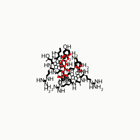 CC[C@H](C)[C@H](NC(=O)[C@H](CCCNC(=N)N)NC(=O)[C@H](C)NC(=O)[C@H](CCCNC(=N)N)NC(=O)c1ccc(CN)cc1)C(=O)N[C@@H](CC(N)=O)C(=O)N[C@@H](CC(C)C)C(=O)N[C@H](C(=O)N[C@H](C(=O)N[C@@H](CCCNC(=N)N)C(=O)N[C@@H](CCC(N)=O)C(=O)N[C@@H](CCCNC(=N)N)C(=O)N[C@@H](Cc1ccc(O)cc1)C(N)=O)[C@@H](C)O)[C@@H](C)CC